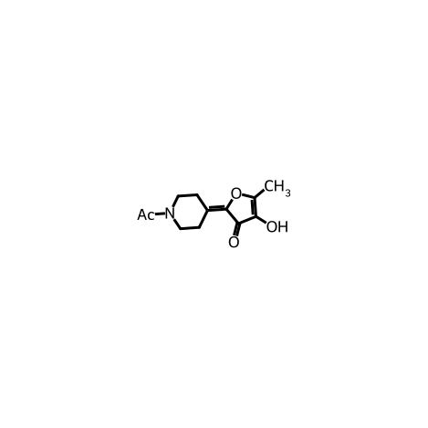 CC(=O)N1CCC(=C2OC(C)=C(O)C2=O)CC1